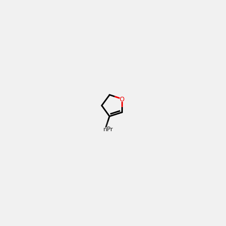 CCCC1=COCC1